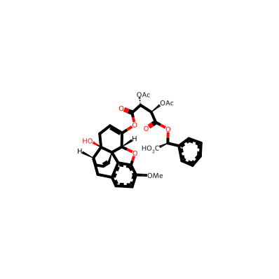 COc1ccc2c3c1O[C@H]1C(OC(=O)[C@H](OC(C)=O)[C@@H](OC(C)=O)C(=O)O[C@H](C(=O)O)c4ccccc4)=CC[C@@]4(O)[C@H](CC=C[C@]314)C2